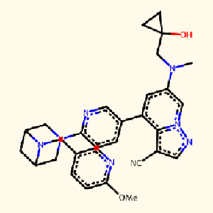 COc1ccc(CN2C3CC2CN(c2ccc(-c4cc(N(C)CC5(O)CC5)cn5ncc(C#N)c45)cn2)C3)cn1